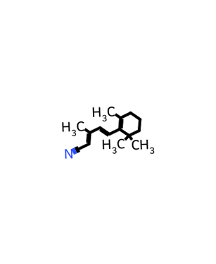 CC(C=CC1=C(C)CCCC1(C)C)=CC#N